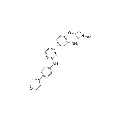 CC(=O)N1CC(Oc2ccc(-c3ccnc(Nc4ccc(N5CCOCC5)cc4)n3)cc2N)C1